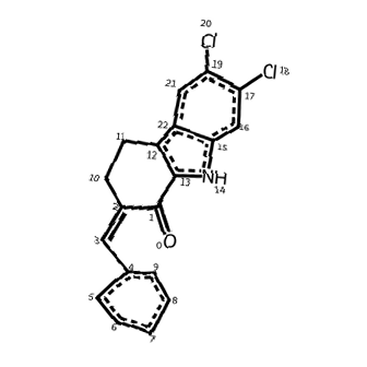 O=C1/C(=C\c2ccccc2)CCc2c1[nH]c1cc(Cl)c(Cl)cc21